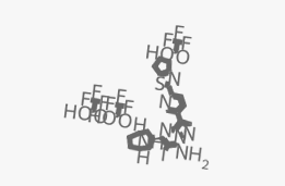 Nc1c(I)c([C@H]2C[C@H]3CC[C@@H](C2)N3)nc2c(-c3ccc(-c4nc5c(s4)CCC5)nc3)cnn12.O=C(O)C(F)(F)F.O=C(O)C(F)(F)F.O=C(O)C(F)(F)F